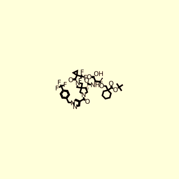 C[C@@H](OCC1(C(=O)OC(C)(C)C)CCCCC1)[C@H](NC(=O)[C@@H]1CN(C(=O)c2cnn(Cc3ccc(C(F)(F)F)cc3)c2)CC12CN(C(=O)C1(C(F)(F)F)CC1)C2)C(=O)O